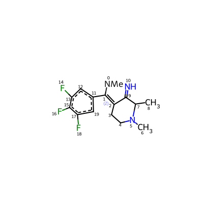 CN/C(=C1/CCN(C)C(C)C1=N)c1cc(F)c(F)c(F)c1